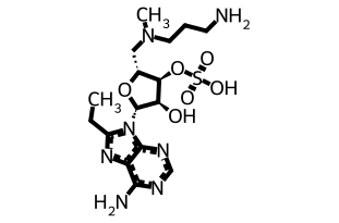 CCc1nc2c(N)ncnc2n1[C@@H]1O[C@H](CN(C)CCCN)[C@@H](OS(=O)(=O)O)[C@H]1O